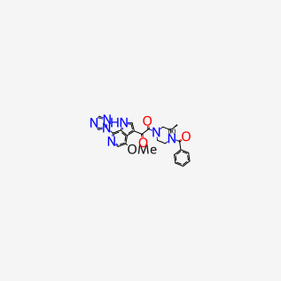 COc1cnc(-n2cncn2)c2[nH]cc(C(=O)C(=O)N3CCN(C(=O)c4ccccc4)[C@H](C)C3)c12